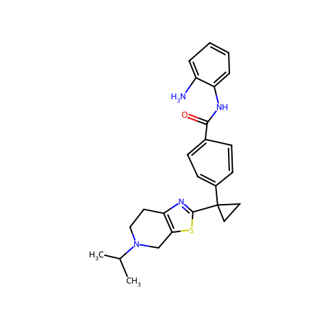 CC(C)N1CCc2nc(C3(c4ccc(C(=O)Nc5ccccc5N)cc4)CC3)sc2C1